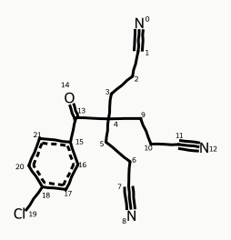 N#CCCC(CCC#N)(CCC#N)C(=O)c1ccc(Cl)cc1